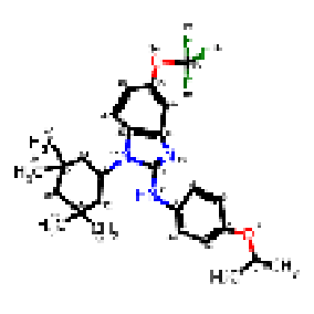 CC(C)Oc1ccc(Nc2nc3cc(OC(F)(F)F)ccc3n2C2CC(C)(C)CC(C)(C)C2)cc1